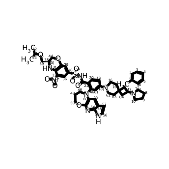 Cc1ccccc1[C@@H]1CCCN1C1CC2(CCN(c3ccc(C(=O)NS(=O)(=O)c4cc5c(c([N+](=O)[O-])c4)N[C@@H](COC(C)C)CO5)c(N4CCCOc5nc6[nH]ccc6cc54)c3)CC2)C1